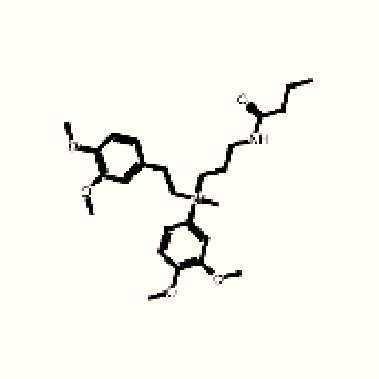 CCCC(=O)NCCC[N+](C)(CCc1ccc(OC)c(OC)c1)c1ccc(OC)c(OC)c1